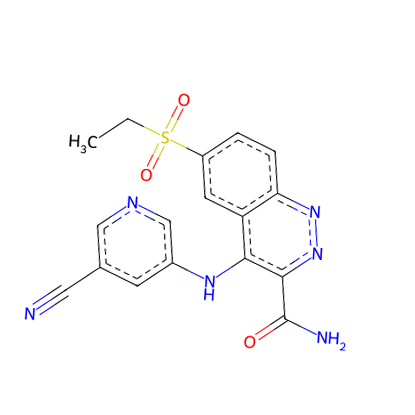 CCS(=O)(=O)c1ccc2nnc(C(N)=O)c(Nc3cncc(C#N)c3)c2c1